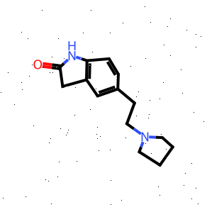 O=C1Cc2cc(CCN3CCCC3)ccc2N1